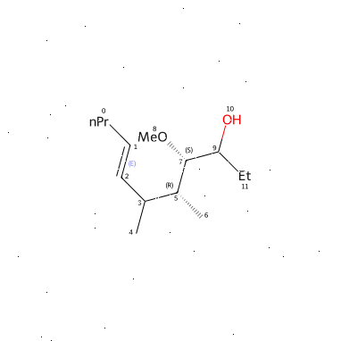 CCC/C=C/C(C)[C@@H](C)[C@H](OC)C(O)CC